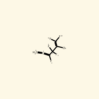 C=C=C(F)C(F)(F)C(Cl)=C(F)F